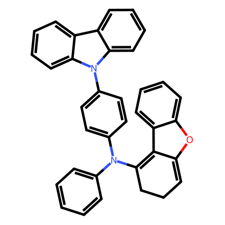 C1=c2oc3ccccc3c2=C(N(c2ccccc2)c2ccc(-n3c4ccccc4c4ccccc43)cc2)CC1